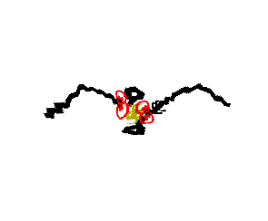 CCCCCCCC/C=C\CCCCCCCC(=O)OC(SSC(OC(=O)CCCCCCC/C=C\CCCCCCCC)c1ccccc1)c1ccccc1